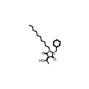 CCCCCCCCCCN1C(=O)C(=C(C)O)C(=O)[C@@H]1Cc1ccccc1